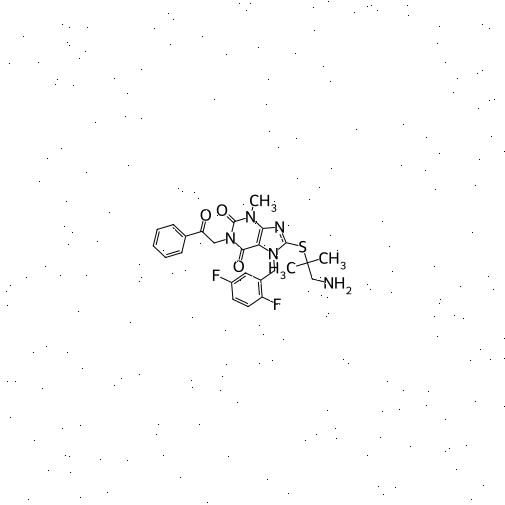 Cn1c(=O)n(CC(=O)c2ccccc2)c(=O)c2c1nc(SC(C)(C)CN)n2Cc1cc(F)ccc1F